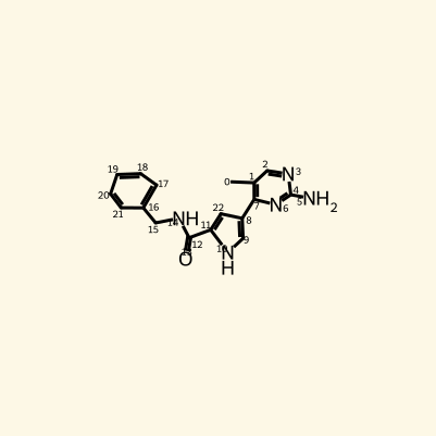 Cc1cnc(N)nc1-c1c[nH]c(C(=O)NCc2ccccc2)c1